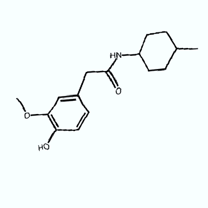 COc1cc(CC(=O)NC2CCC(C)CC2)ccc1O